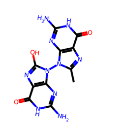 Cc1nc2c(=O)[nH]c(N)nc2n1-n1c(O)nc2c(=O)[nH]c(N)nc21